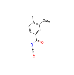 COc1cc(C(=O)N=C=O)ccc1C